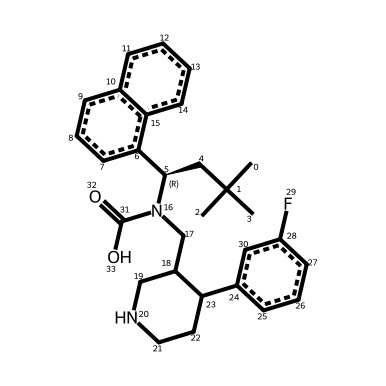 CC(C)(C)C[C@H](c1cccc2ccccc12)N(CC1CNCCC1c1cccc(F)c1)C(=O)O